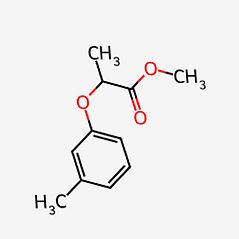 COC(=O)C(C)Oc1cccc(C)c1